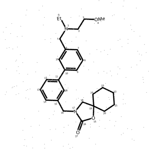 CCN(CCOC)Cc1cccc(-c2cccc(CN3CC4(CCCCC4)OC3=O)c2)c1